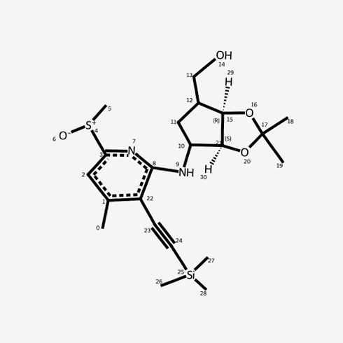 Cc1cc([S+](C)[O-])nc(NC2CC(CO)[C@H]3OC(C)(C)O[C@@H]23)c1C#C[Si](C)(C)C